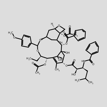 CC[C@H]1OC(c2ccc(OC)cc2)O[C@@H]2C[C@H]([C@H](OC(=O)c3ccccc3)[C@]3(O)C[C@H](OC(=O)[C@H](O)[C@H](CC(C)C)NC(=O)c4ccccc4)C(C)=C([C@H]3C)[C@@H]1OC(C)=O)[C@]1(OC(C)=O)CO[C@@H]1C2